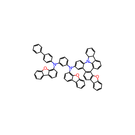 C1=CC2c3cccc4c3N(c3ccc(N(c5cccc(N(c6ccc(-c7ccccc7)cc6)c6cccc7c6oc6ccccc67)c5)c5cccc6c5oc5ccccc56)cc3-c3ccc5c(oc6ccccc65)c3-4)C2C=C1